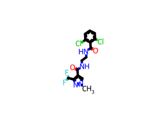 Cn1cc(C(=O)NCCNC(=O)c2c(Cl)cccc2Cl)c(C(F)F)n1